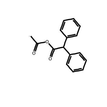 [CH2]C(=O)OC(=O)C(c1ccccc1)c1ccccc1